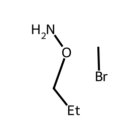 CBr.CCCON